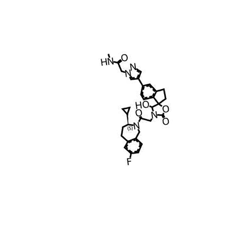 CNC(=O)Cn1cc(-c2ccc3c(c2)CCC32OC(=O)N(CC(=O)N3Cc4ccc(F)cc4CC[C@H]3C3CC3)C2O)cn1